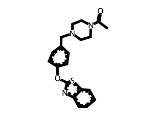 CC(=O)N1CCN(Cc2ccc(Oc3nc4ccccc4s3)cc2)CC1